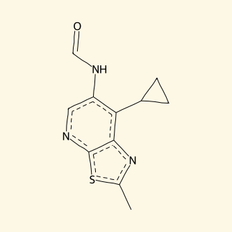 Cc1nc2c(C3CC3)c(NC=O)cnc2s1